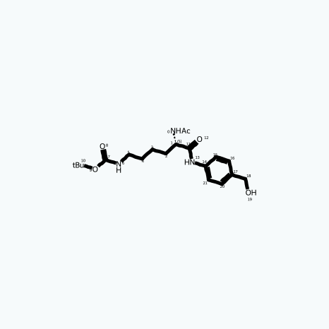 CC(=O)N[C@@H](CCCCNC(=O)OC(C)(C)C)C(=O)Nc1ccc(CO)cc1